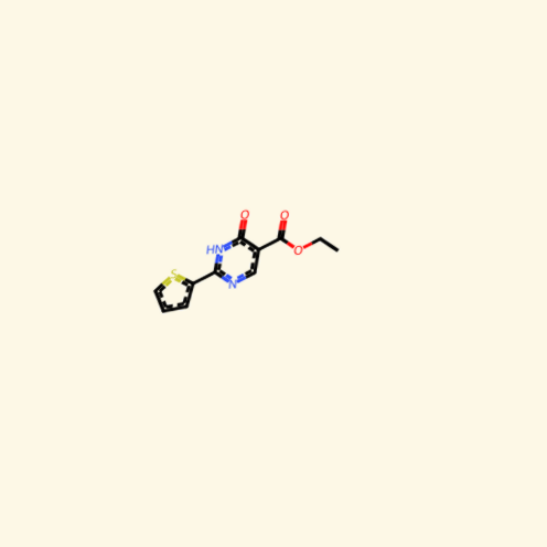 CCOC(=O)c1cnc(-c2cccs2)[nH]c1=O